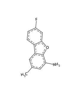 Cc1cc(N)c2oc3cc(F)ccc3c2c1